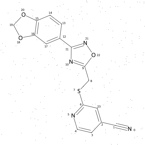 N#Cc1ccnc(SCc2nc(-c3ccc4c(c3)OCO4)no2)c1